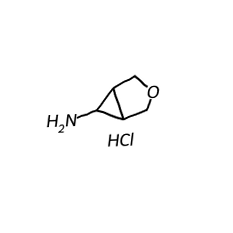 Cl.NC1C2COCC12